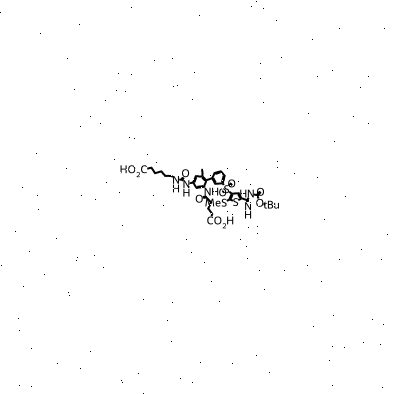 CSc1sc(C(=N)NC(=O)OC(C)(C)C)cc1S(=O)(=O)c1cccc(-c2c(C)cc(NC(=O)NCCCCCC(=O)O)cc2NC(=O)CCCC(=O)O)c1